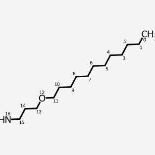 CCCCCCCCCCCCOCCC[NH]